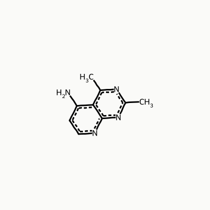 Cc1nc(C)c2c(N)ccnc2n1